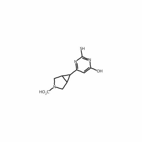 O=C(O)N1CC2C(C1)C2c1cc(O)nc(S)n1